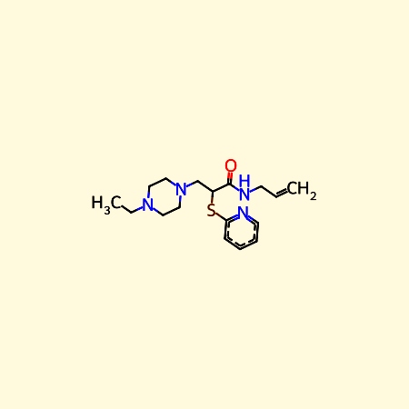 C=CCNC(=O)C(CN1CCN(CC)CC1)Sc1ccccn1